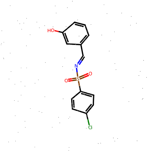 O=S(=O)(/N=C/c1cccc(O)c1)c1ccc(Cl)cc1